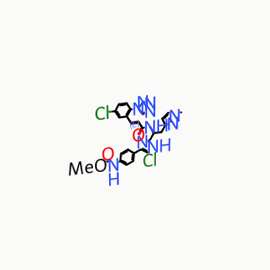 COC(=O)Nc1ccc(-c2nc(C(Cc3ccn(C)n3)NC(=O)/C=C/c3cc(Cl)ccc3-n3cnnn3)[nH]c2Cl)cc1